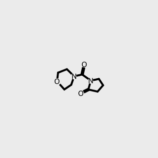 O=C1CCCN1C(=O)N1CCOCC1